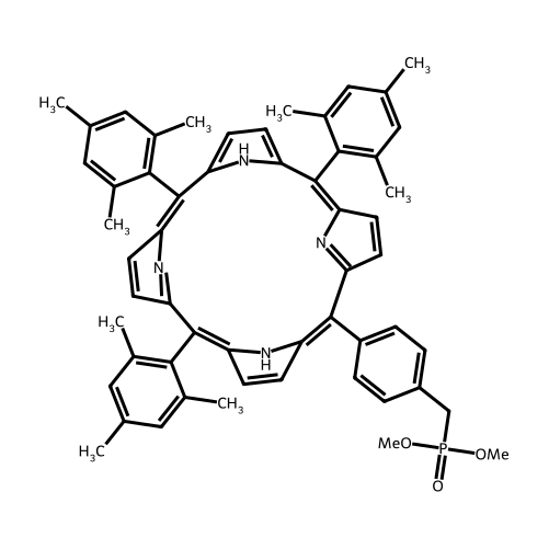 COP(=O)(Cc1ccc(-c2c3nc(c(-c4c(C)cc(C)cc4C)c4ccc([nH]4)c(-c4c(C)cc(C)cc4C)c4nc(c(-c5c(C)cc(C)cc5C)c5ccc2[nH]5)C=C4)C=C3)cc1)OC